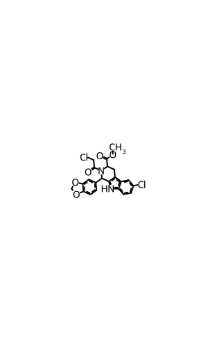 COC(=O)C1Cc2c([nH]c3ccc(Cl)cc23)C(c2ccc3c(c2)OCO3)N1C(=O)CCl